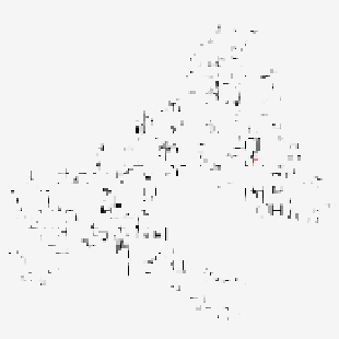 CC(C)(C[C@H]1[C@H](O[C@@H]2[C@H]3OC(=O)N[C@@H]3C[C@H](NC(=O)OCc3ccccc3)[C@H]2O[C@H]2O[C@@H]3COC(c4ccccc4)O[C@H]3[C@H](O)[C@H]2NC(=O)OCc2ccccc2)O[C@H](CO[Si](c2ccccc2)(c2ccccc2)C(C)(C)C)[C@H]1O)[Si](O)(c1ccccc1)c1ccccc1